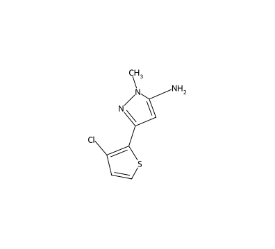 Cn1nc(-c2sccc2Cl)cc1N